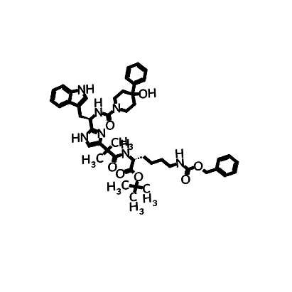 CC(C)(C)OC(=O)[C@@H](CCCCNC(=O)OCc1ccccc1)NC(=O)C(C)(C)c1c[nH]c([C@@H](Cc2c[nH]c3ccccc23)NC(=O)N2CCC(O)(c3ccccc3)CC2)n1